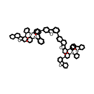 c1ccc(N(c2ccc(-c3ccc4c(c3)oc3c(-c5ccc6c(ccc7c6oc6cccc(-c8ccccc8N(c8ccc(-c9cccc%10oc%11ccccc%11c9%10)cc8)c8ccccc8-n8c9ccccc9c9ccccc98)c67)c5)cccc34)cc2)c2ccccc2-n2c3ccccc3c3ccccc32)c(-c2cccc3oc4c5ccccc5ccc4c23)c1